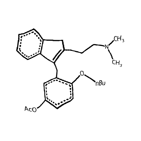 CCCCOc1ccc(OC(C)=O)cc1C1=C(CCN(C)C)Cc2ccccc21